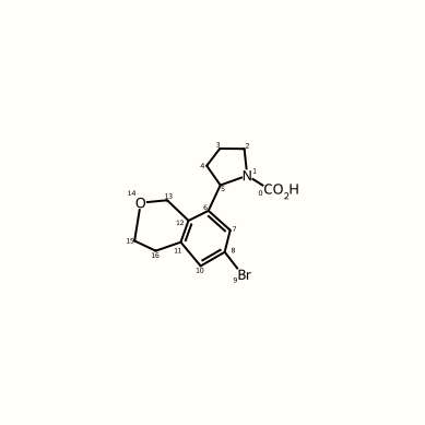 O=C(O)N1CCCC1c1cc(Br)cc2c1COCC2